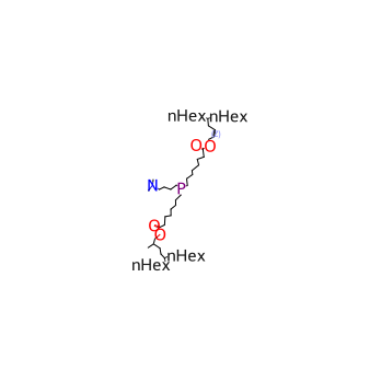 CCCCCCC(C/C=C\COC(=O)CCCCCCCP(CCCCCCCC(=O)OCC(C)CCC(CCCCCC)CCCCCC)CCCCN(C)C)CCCCCC